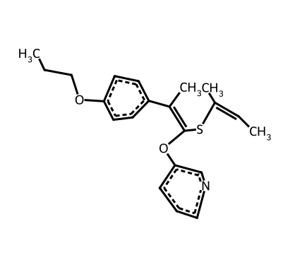 C/C=C(/C)S/C(Oc1cccnc1)=C(\C)c1ccc(OCCC)cc1